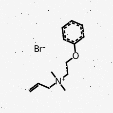 C=CC[N+](C)(C)CCOc1ccccc1.[Br-]